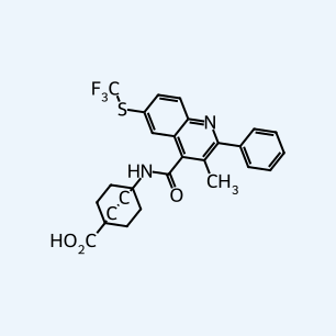 Cc1c(-c2ccccc2)nc2ccc(SC(F)(F)F)cc2c1C(=O)NC12CCC(C(=O)O)(CC1)CC2